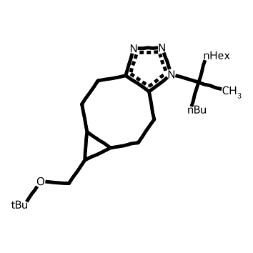 CCCCCCC(C)(CCCC)n1nnc2c1CCC1C(CC2)C1COC(C)(C)C